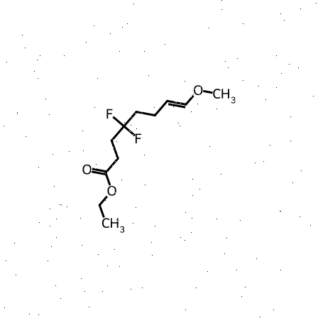 CCOC(=O)CCC(F)(F)CCC=COC